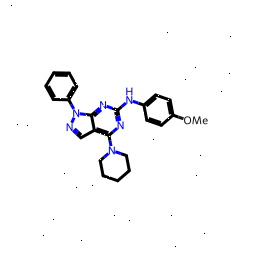 COc1ccc(Nc2nc(N3CCCCC3)c3cnn(-c4ccccc4)c3n2)cc1